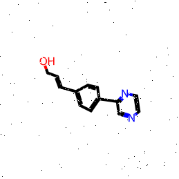 OC/C=C/c1ccc(-c2cnccn2)cc1